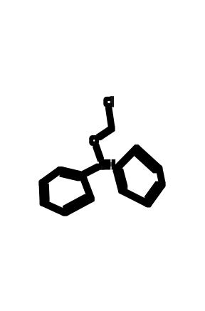 ClCO[SiH](c1ccccc1)c1ccccc1